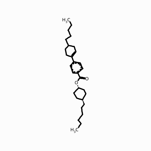 CCCCCC[C@H]1CC[C@H](OC(=O)c2ccc(C3=CCC(CCCCC)CC3)cc2)CC1